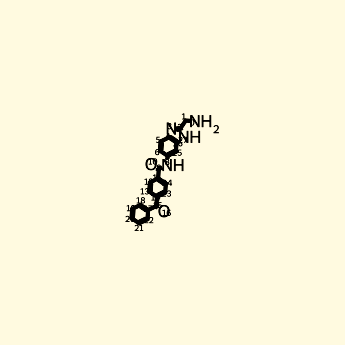 NCc1nc2ccc(NC(=O)c3ccc(C(=O)c4ccccc4)cc3)cc2[nH]1